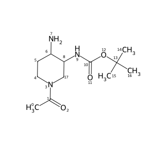 CC(=O)N1CCC(N)C(NC(=O)OC(C)(C)C)C1